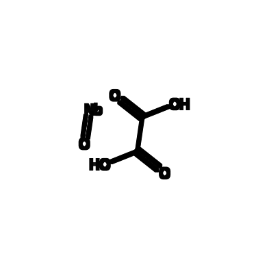 O=C(O)C(=O)O.[O]=[Nb]